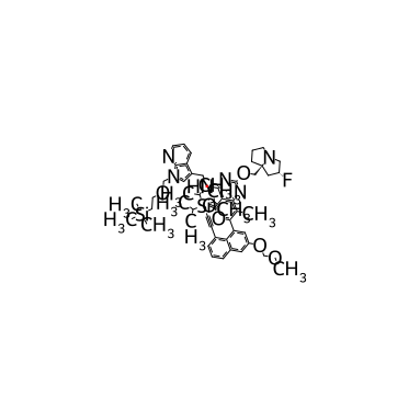 COCOc1cc(-c2oc(=O)c3c(NCc4cn(COCC[Si](C)(C)C)c5ncccc45)nc(OC[C@@]45CCCN4C[C@H](F)C5)nc3c2C)c2c(C#C[Si](C(C)C)(C(C)C)C(C)C)cccc2c1